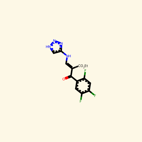 CCOC(=O)/C(=C\Nc1c[nH]nn1)C(=O)c1cc(F)c(F)cc1F